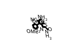 COc1ccc(OC)c(-c2c(C#N)c(N)nc3sc(C(N)=O)c(N)c23)c1